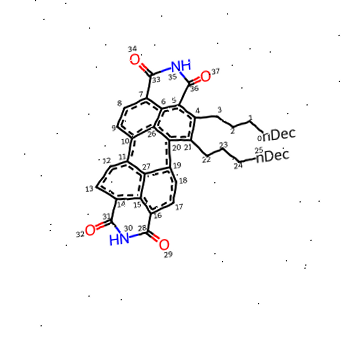 CCCCCCCCCCCCCc1c2c3c(ccc4c5ccc6c7c(ccc(c(c1CCCCCCCCCCCCC)c34)c75)C(=O)NC6=O)C(=O)NC2=O